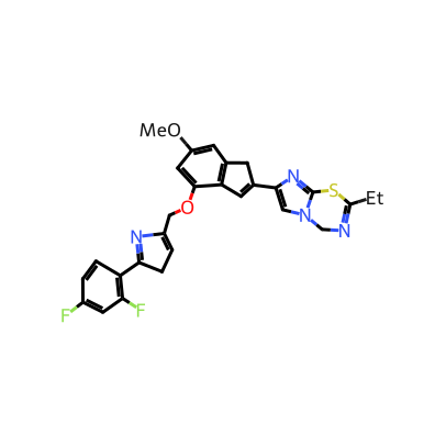 CCC1=NCn2cc(C3=Cc4c(cc(OC)cc4OCC4=CCC(c5ccc(F)cc5F)=N4)C3)nc2S1